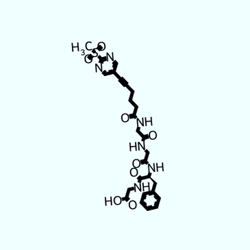 CS(=O)(=O)c1ncc(C#CCCCC(=O)NCC(=O)NCC(=O)N[C@@H](Cc2ccccc2)C(=O)NCC(=O)O)cn1